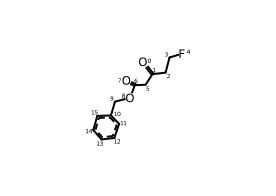 O=C(CCF)CC(=O)OCc1ccccc1